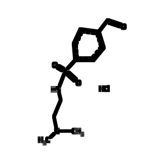 CN(C)CCNS(=O)(=O)c1ccc(C=O)cc1.Cl